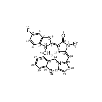 CCn1c(=O)/c(=C2\Sc3cc(F)ccc3N2C)s/c1=C\c1scc[n+]1Cc1ccccc1Br